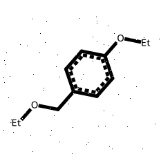 C[CH]OCc1ccc(OCC)cc1